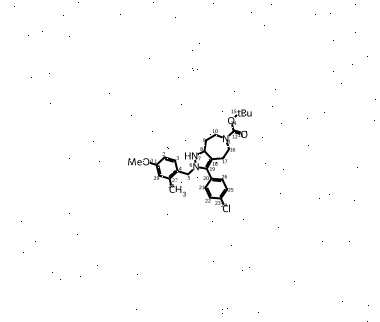 COc1ccc(CN2NC3CCN(C(=O)OC(C)(C)C)CCC3=C2c2ccc(Cl)cc2)c(C)c1